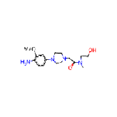 COc1cc(N2CCN(CC(=O)N(C)CCO)CC2)ccc1N